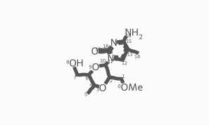 COCC1OC(C)C(CO)OC1n1cc(C)c(N)nc1=O